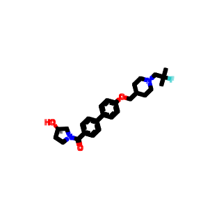 CC(C)(F)CN1CCC(COc2ccc(-c3ccc(C(=O)N4CC[C@@H](O)C4)cc3)cc2)CC1